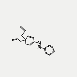 C=CCC1(CC=C)C=CC(N=Nc2ccccc2)=CC1